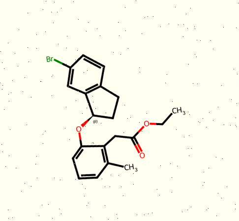 CCOC(=O)Cc1c(C)cccc1O[C@@H]1CCc2ccc(Br)cc21